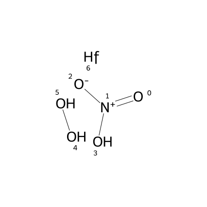 O=[N+]([O-])O.OO.[Hf]